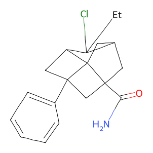 CCC1(Cl)C2CC3(C(N)=O)CC4(c5ccccc5)CC1C34C2